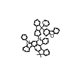 CC1(C)c2ccccc2-c2c(-c3ccccc3N(c3ccc4c(c3)C(c3ccccc3)(c3ccc5oc6ccccc6c5c3)c3ccccc3-4)c3ccc4c5ccccc5n(-c5ccccc5)c4c3)cccc21